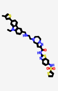 CCn1c2ccc(CNCCN3CCCn4nc(C(=O)Nc5nc6ccc(NS(=O)(=O)c7cccs7)cc6s5)cc4C3)cc2c2ccc(-c3cc(C)cs3)cc21